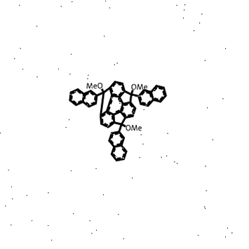 COC1(c2ccc3ccccc3c2)c2ccc3c4c2c2c1ccc1c2c2c(ccc(c42)C3(OC)c2ccc3ccccc3c2)C1(OC)c1ccc2ccccc2c1